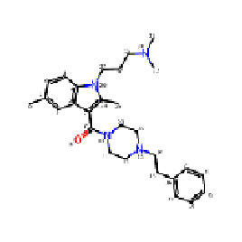 Cc1ccc2c(c1)c(C(=O)N1CCN(CCc3ccccc3)CC1)c(C)n2CCCN(C)C